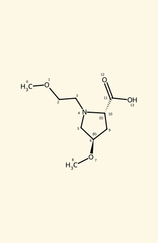 COCCN1C[C@H](OC)C[C@H]1C(=O)O